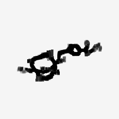 COC(=O)c1ccc(CNC23CNCCNCC(N)(CNCCNC2)CNCCNC3)cc1